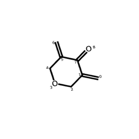 C=C1COCC(=C)C1=O